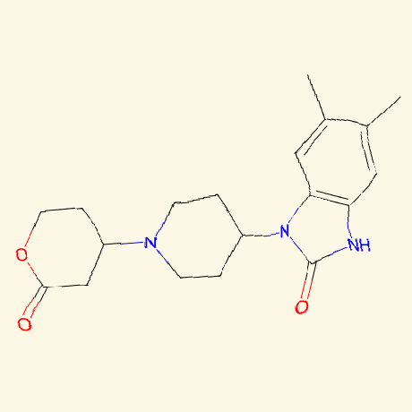 Cc1cc2[nH]c(=O)n(C3CCN(C4CCOC(=O)C4)CC3)c2cc1C